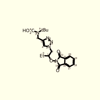 CCC(Cn1cc(CN(C(=O)O)C(C)(C)C)nn1)ON1C(=O)c2ccccc2C1=O